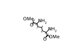 COC(=O)C(N)CCCC(N)C(=O)OC